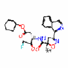 CC(C)C1(C(=O)N[C@@H](CC(=O)OC2CCCCC2)C(=O)CF)CC(c2nccc3ccccc23)=NO1